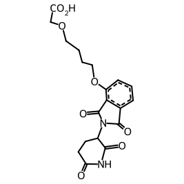 O=C(O)COCCCCOc1cccc2c1C(=O)N(C1CCC(=O)NC1=O)C2=O